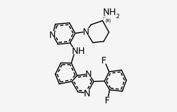 N[C@@H]1CCCN(c2ccncc2Nc2cccc3cnc(-c4c(F)cccc4F)nc23)C1